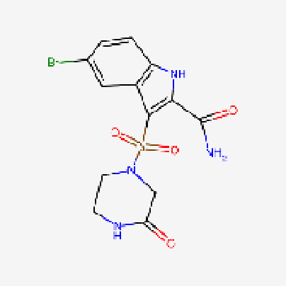 NC(=O)c1[nH]c2ccc(Br)cc2c1S(=O)(=O)N1CCNC(=O)C1